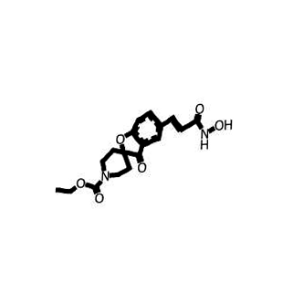 CCOC(=O)N1CCC2(CC1)Oc1ccc(C=CC(=O)NO)cc1C2=O